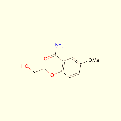 COc1ccc(OCCO)c(C(N)=O)c1